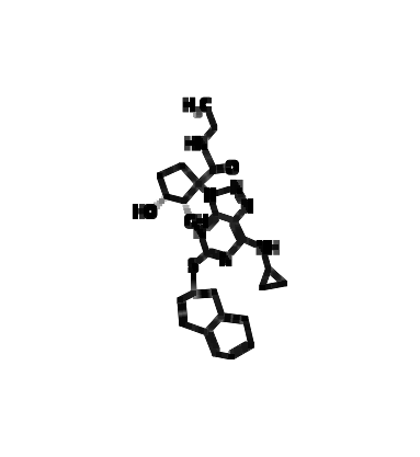 CCNC(=O)C1(n2nnc3c(NC4CC4)nc(Sc4ccc5ccccc5c4)nc32)CC[C@@H](O)[C@H]1O